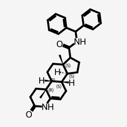 C[C@]12CCC(=O)NC1=CC[C@@H]1[C@H]2CC[C@]2(C)C(C(=O)NC(c3ccccc3)c3ccccc3)CC[C@@H]12